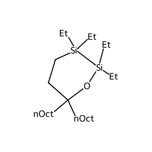 CCCCCCCCC1(CCCCCCCC)CC[Si](CC)(CC)[Si](CC)(CC)O1